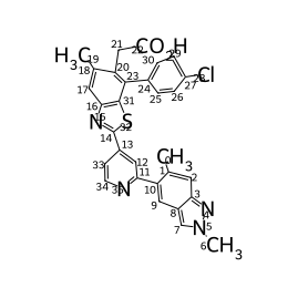 Cc1cc2nn(C)cc2cc1-c1cc(-c2nc3cc(C)c(CC(=O)O)c(-c4ccc(Cl)cc4)c3s2)ccn1